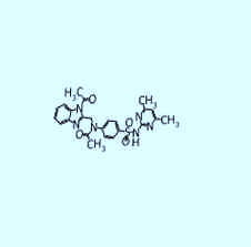 CC(=O)N(Cc1nc2ccccc2n1C(C)=O)c1ccc(S(=O)(=O)Nc2nc(C)cc(C)n2)cc1